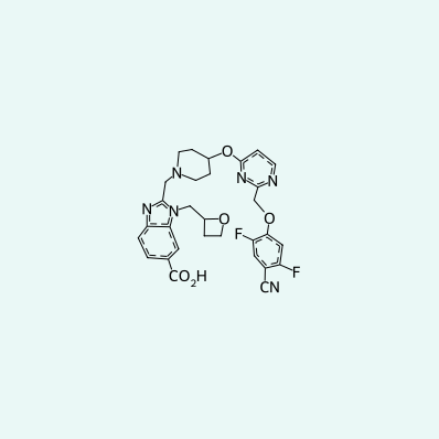 N#Cc1cc(F)c(OCc2nccc(OC3CCN(Cc4nc5ccc(C(=O)O)cc5n4CC4CCO4)CC3)n2)cc1F